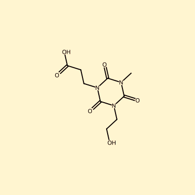 Cn1c(=O)n(CCO)c(=O)n(CCC(=O)O)c1=O